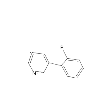 Fc1ccccc1-c1c[c]cnc1